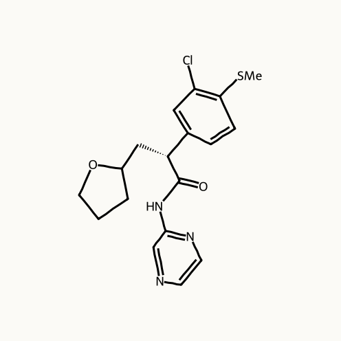 CSc1ccc([C@@H](CC2CCCO2)C(=O)Nc2cnccn2)cc1Cl